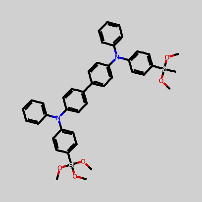 CO[Si](C)(OC)c1ccc(N(c2ccccc2)c2ccc(-c3ccc(N(c4ccccc4)c4ccc([Si](OC)(OC)OC)cc4)cc3)cc2)cc1